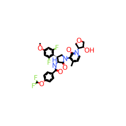 COc1cc(F)c([C@@H]2CN(c3c(C)ccn([C@H]4COC[C@@H]4O)c3=O)C(=O)[C@H]2NC(=O)c2ccc(OC(F)F)cc2)c(F)c1